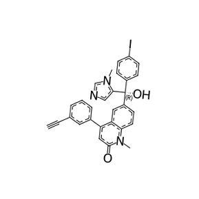 C#Cc1cccc(-c2cc(=O)n(C)c3ccc([C@](O)(c4ccc(I)cc4)c4cncn4C)cc23)c1